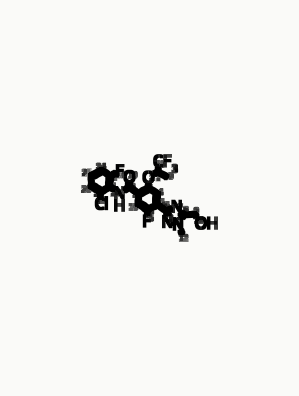 CC(Oc1cc(-c2nc(CO)n(C)n2)c(F)cc1C(=O)Nc1c(F)cccc1Cl)C(F)(F)F